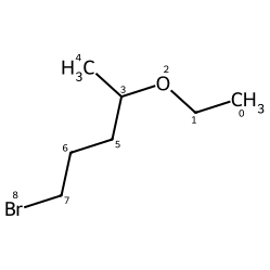 CCOC(C)CCCBr